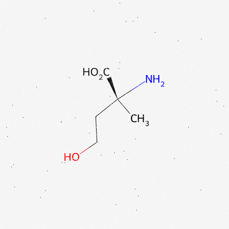 C[C@@](N)(CCO)C(=O)O